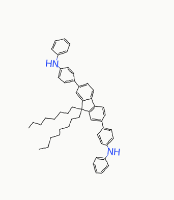 CCCCCCCCC1(CCCCCCCC)c2cc(-c3ccc(Nc4ccccc4)cc3)ccc2-c2ccc(-c3ccc(Nc4ccccc4)cc3)cc21